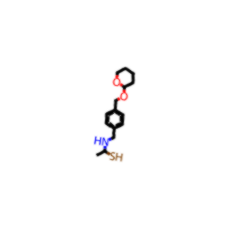 CC(S)NCc1ccc(COC2CCCCO2)cc1